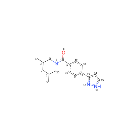 CC1CC(C)CN(C(=O)c2ccc(-c3cc[nH]n3)cc2)C1